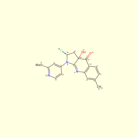 COc1cc(N2C3=Nc4cc(C)ccc4C(=O)C3(O)C[C@@H]2F)ccn1